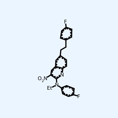 CCN(c1ccc(F)cc1)c1nc2ccc(CCc3ccc(F)cc3)cc2cc1[N+](=O)[O-]